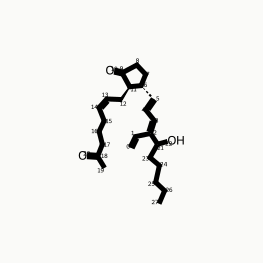 C=C/C(=C\C=C\[C@H]1CCC(=O)[C@@H]1C/C=C\CCCC(C)=O)C(O)CCCCC